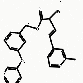 CC(C)C(C=Cc1cccc(F)c1)C(=O)OCc1cccc(Oc2ccccc2)c1